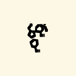 C=O.O=Cc1ccco1.Oc1ccccc1.Oc1ccccc1